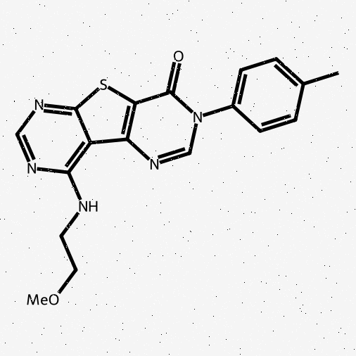 COCCNc1ncnc2sc3c(=O)n(-c4ccc(C)cc4)cnc3c12